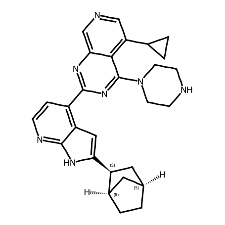 c1cc(-c2nc(N3CCNCC3)c3c(C4CC4)cncc3n2)c2cc([C@H]3C[C@H]4CC[C@@H]3C4)[nH]c2n1